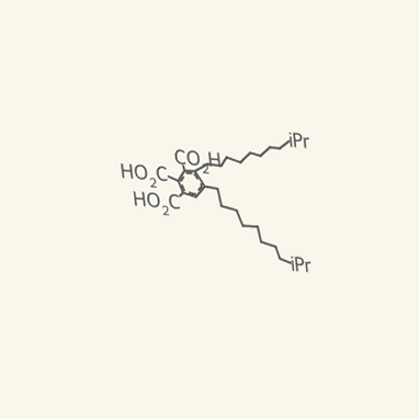 CC(C)CCCCCCCCc1cc(C(=O)O)c(C(=O)O)c(C(=O)O)c1CCCCCCCCC(C)C